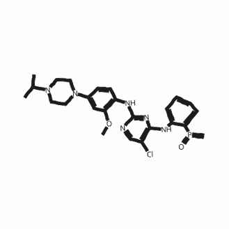 C=P(=O)c1ccccc1Nc1nc(Nc2ccc(N3CCN(C(C)C)CC3)cc2OC)ncc1Cl